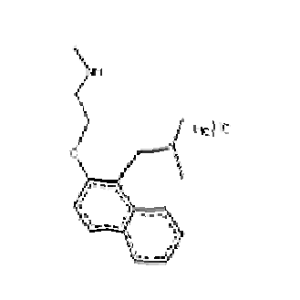 CNCCOc1ccc2ccccc2c1CN(C)C.Cl.Cl